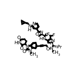 CCC[C@@H](N(C)OCC#Cc1ccc2c(c1)n(C)c(=O)n2C1CCC(=O)NC1=O)n1cc(NC(=O)c2coc(-c3ccnc(NCC4CC4)c3)n2)c(C(F)F)n1